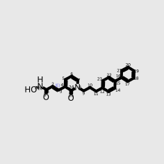 O=C(/C=C/c1cccn(CCCc2ccc(-c3ccccc3)cc2)c1=O)NO